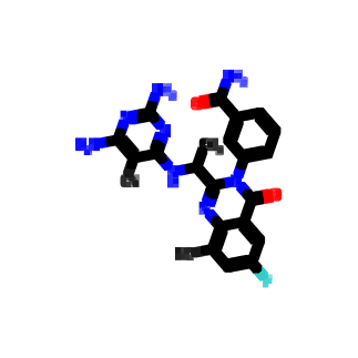 CC(Nc1nc(N)nc(N)c1C#N)c1nc2c(C#N)cc(F)cc2c(=O)n1-c1cccc(C(N)=O)c1